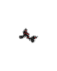 CCCCC(OC(C)=O)c1ccccc1C(=O)OCCN(C)Cc1ccc(C(CCCC)OC(C)=O)c(C(=O)OCCN2CCCCC2)c1